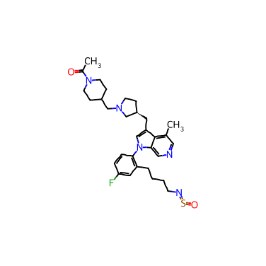 CC(=O)N1CCC(CN2CC[C@@H](Cc3cn(-c4ccc(F)cc4CCCCN=S=O)c4cncc(C)c34)C2)CC1